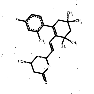 Cc1cc(F)ccc1C1=C(C=CC2CC(O)CC(=O)O2)C(C)(C)CC(C)(C)C1